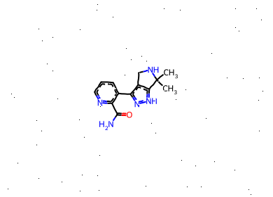 CC1(C)NCc2c(-c3cccnc3C(N)=O)n[nH]c21